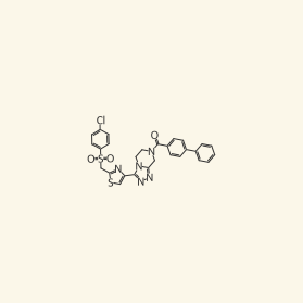 O=C(c1ccc(-c2ccccc2)cc1)N1CCn2c(nnc2-c2csc(CS(=O)(=O)c3ccc(Cl)cc3)n2)C1